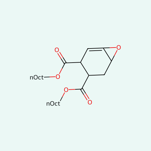 CCCCCCCCOC(=O)C1C=C2OC2CC1C(=O)OCCCCCCCC